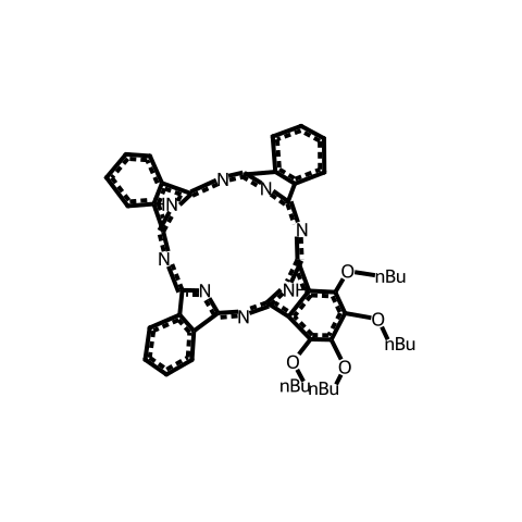 CCCCOc1c(OCCCC)c(OCCCC)c2c3nc4nc(nc5[nH]c(nc6nc(nc([nH]3)c2c1OCCCC)-c1ccccc1-6)c1ccccc51)-c1ccccc1-4